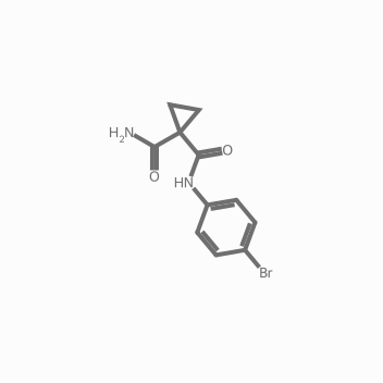 NC(=O)C1(C(=O)Nc2ccc(Br)cc2)CC1